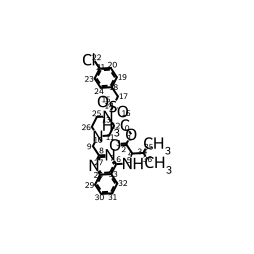 COC(=O)[C@@H](Nc1nc(CN2CCN(S(=O)(=O)Cc3ccc(Cl)cc3)CC2)nc2ccccc12)C(C)C